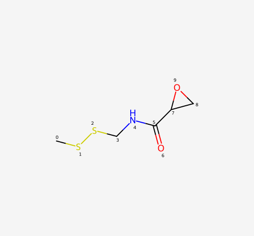 CSSCNC(=O)C1CO1